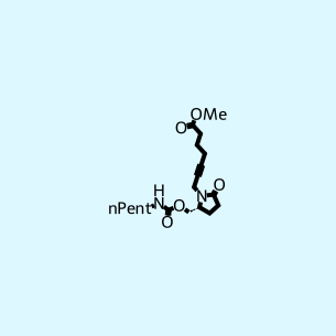 CCCCCNC(=O)OC[C@H]1CCC(=O)N1CC#CCCCC(=O)OC